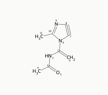 C=C(NC(C)=O)n1c#cnc1C